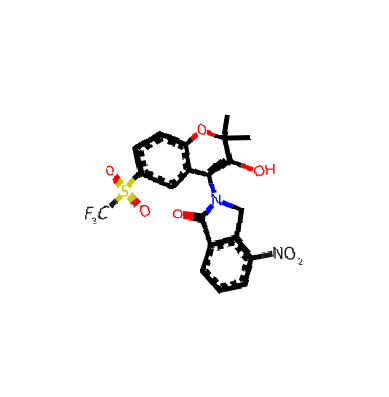 CC1(C)Oc2ccc(S(=O)(=O)C(F)(F)F)cc2C(N2Cc3c(cccc3[N+](=O)[O-])C2=O)=C1O